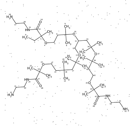 CCC(C)(OCCC(C)(C)OC(COC(C)(C)CC(C)(C)CCOC(C)(C)C(=O)NCCN)CC(C)(C)OC(C)(C)CCOC(C)(C)C(=O)NCCN)C(=O)NCCN